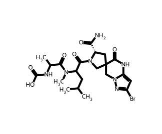 CC(C)CC(C(=O)N1CC2(C[C@H]1C(N)=O)Cn1nc(Br)cc1NC2=O)N(C)C(=O)C(C)NC(=O)O